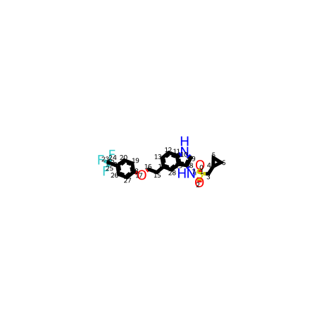 O=S(=O)(CC1CC1)Nc1c[nH]c2ccc(CCOc3ccc(C(F)(F)F)cc3)cc12